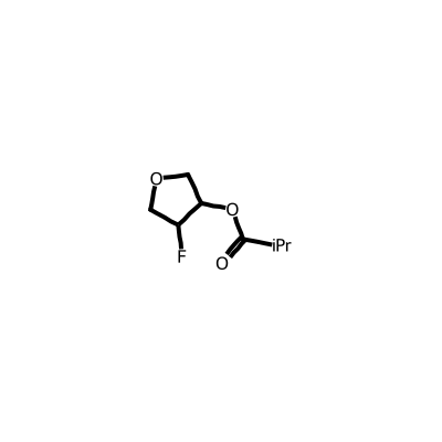 CC(C)C(=O)OC1COCC1F